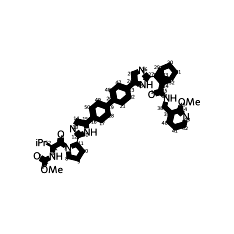 COC(=O)N[C@H](C(=O)N1CCC[C@H]1c1ncc(-c2ccc(-c3ccc(-c4cnc([C@@H]5C6CCC(C6)C5C(=O)NCc5cccnc5OC)[nH]4)cc3)cc2)[nH]1)C(C)C